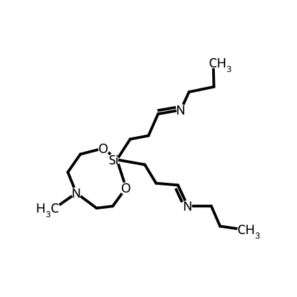 CCCN=CCC[Si]1(CCC=NCCC)OCCN(C)CCO1